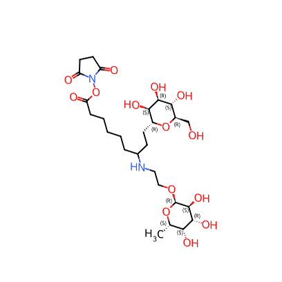 C[C@@H]1O[C@@H](OCCNC(CCCCCC(=O)ON2C(=O)CCC2=O)CC[C@H]2O[C@H](CO)[C@@H](O)[C@H](O)[C@@H]2O)[C@@H](O)[C@H](O)[C@@H]1O